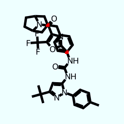 Cc1ccc(-n2nc(C(C)(C)C)cc2NC(=O)Nc2ccc(CC3CC4CCC(C3)N4C(=O)c3nc(C)oc3C(F)(F)F)cc2)cc1